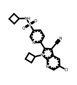 N#Cc1c(-c2ccc(S(=O)(=O)NC3CCC3)cn2)n(C2CCC2)c2ncc(Cl)cc12